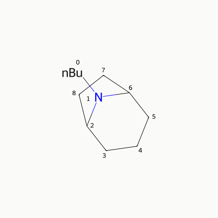 CCCCN1C2CCCC1CC2